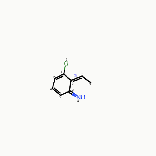 C/C=C1\C(=N)C=CC=C1Cl